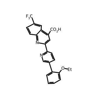 CCOc1ccccc1-c1ccc(-c2cc(C(=O)O)c3cc(C(F)(F)F)ccc3n2)nc1